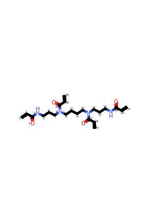 C=CC(=O)NCCCN(CCCCN(CCCNC(=O)C=C)C(=O)C=C)C(=O)C=C